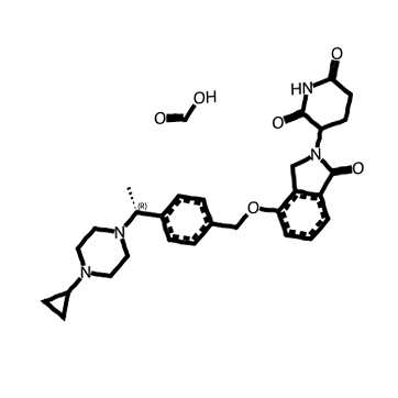 C[C@H](c1ccc(COc2cccc3c2CN(C2CCC(=O)NC2=O)C3=O)cc1)N1CCN(C2CC2)CC1.O=CO